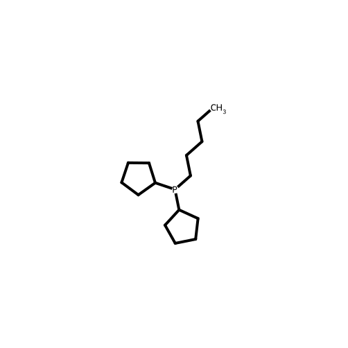 CCCCCP(C1CCCC1)C1CCCC1